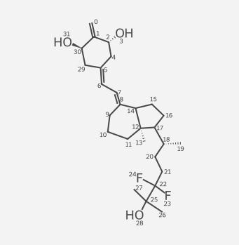 C=C1[C@H](O)CC(=C/C=C2\CCC[C@@]3(C)C2CCC3[C@H](C)CCC(F)(F)C(C)(C)O)C[C@H]1O